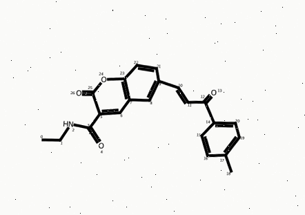 CCNC(=O)c1cc2cc(C=CC(=O)c3ccc(C)cc3)ccc2oc1=O